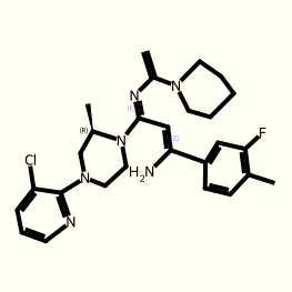 C=C(/N=C(\C=C(/N)c1ccc(C)c(F)c1)N1CCN(c2ncccc2Cl)C[C@H]1C)N1CCCCC1